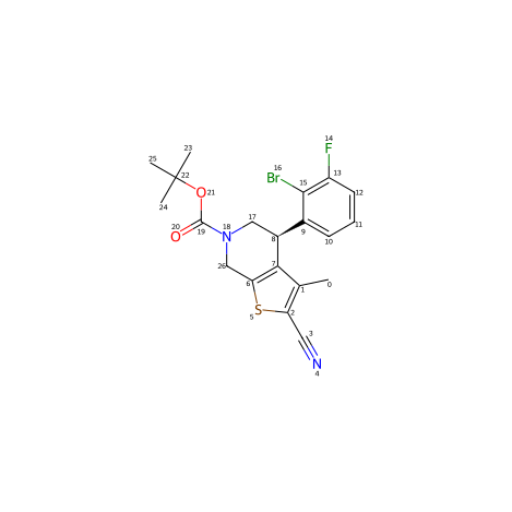 Cc1c(C#N)sc2c1[C@H](c1cccc(F)c1Br)CN(C(=O)OC(C)(C)C)C2